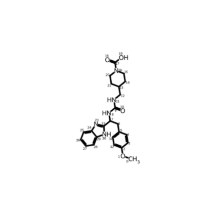 COc1ccc(CC(NC(=O)NCC2CCN(C(=O)O)CC2)c2nc3ccccc3[nH]2)cc1